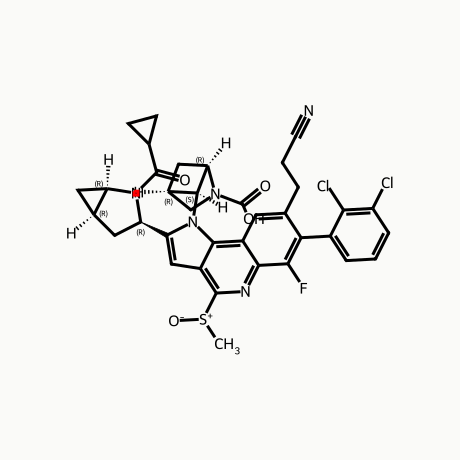 C[S+]([O-])c1nc2c(F)c(-c3cccc(Cl)c3Cl)c(CCC#N)cc2c2c1cc([C@H]1C[C@H]3C[C@H]3N1C(=O)C1CC1)n2[C@H]1[C@@H]2C[C@H]1N(C(=O)O)C2